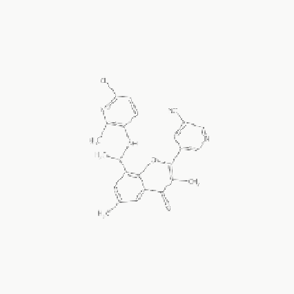 Cc1cc(C(C)Nc2ccc(Cl)nc2C)c2oc(-c3cncc(C#N)c3)c(C)c(=O)c2c1